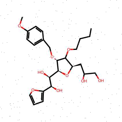 CCCCOC1[C@@H](OCc2ccc(OC)cc2)[C@H]([C@H](O)[C@@H](O)c2ccco2)O[C@@H]1CC(O)CO